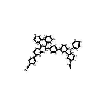 N#Cc1ccc(-c2ccc3c(c2)nc(-c2ccc(-c4ccc5c(c4)c4cc(C#N)ccc4n5-c4ccccc4)cc2)c2c4ccccc4c4ccccc4c32)cc1